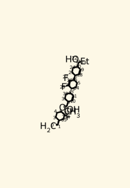 C=CC1CCC(OC(O)C2C=CC([C@H]3CCC(C4C=CC(C(O)CC)CC4)C(F)=C3F)CC2)C(C)(F)C1